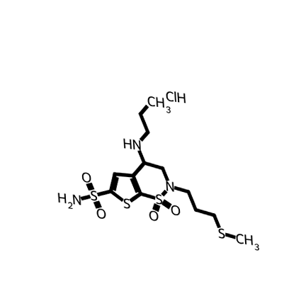 CCCNC1CN(CCCSC)S(=O)(=O)c2sc(S(N)(=O)=O)cc21.Cl